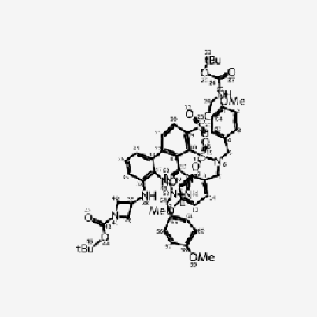 COc1ccc(CN(Cc2ccc(OC)cc2)S(=O)(=O)c2c(S(=O)(=O)CCNC(=O)OC(C)(C)C)ccc(-c3cccc(NC4CN(C(=O)OC(C)(C)C)C4)c3[N+](=O)[O-])c2-c2nnn(Cc3ccc(OC)cc3)n2)cc1